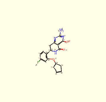 Nc1nc(O)c2c(n1)C[C@H](c1ccc(F)cc1OC1CCCC1)NC2=O